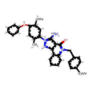 COc1ccc(Cn2c(=O)c3c(N)n(-c4cc(OC)c(Oc5ccccc5)cc4C)nc3c3ccccc32)cc1